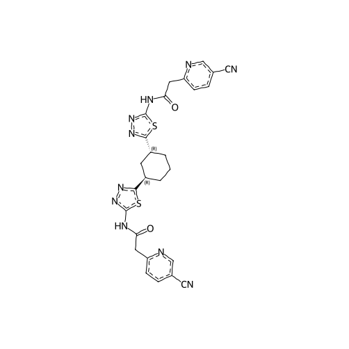 N#Cc1ccc(CC(=O)Nc2nnc([C@@H]3CCC[C@@H](c4nnc(NC(=O)Cc5ccc(C#N)cn5)s4)C3)s2)nc1